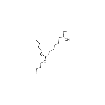 CCCCOC(CCCCCCC(O)CC)OCCCC